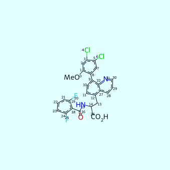 COc1cc(Cl)c(Cl)cc1-c1ccc(CC(NC(=O)c2c(F)cccc2F)C(=O)O)c2cccnc12